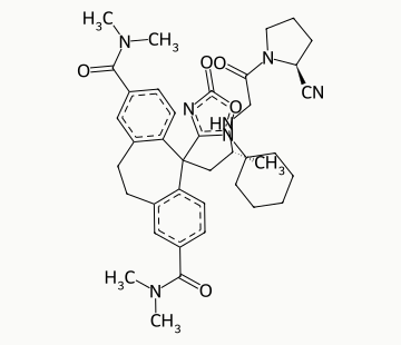 C[C@H](CC1(c2nc(=O)on2C2CCCCC2)c2ccc(C(=O)N(C)C)cc2CCc2cc(C(=O)N(C)C)ccc21)NCC(=O)N1CCC[C@H]1C#N